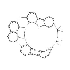 CC1(C)CC(C)(C)c2ccc3c(c2)oc2c(c(Br)ccc23)N2CN(c3c(Br)ccc4c3oc3cc1ccc34)c1cccc3cccc2c13